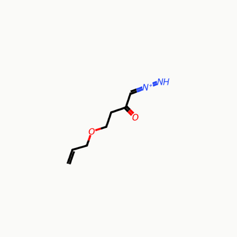 C=CCOCCC(=O)C=[N+]=N